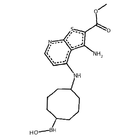 COC(=O)c1sc2nccc(NC3CCCC(BO)CCC3)c2c1N